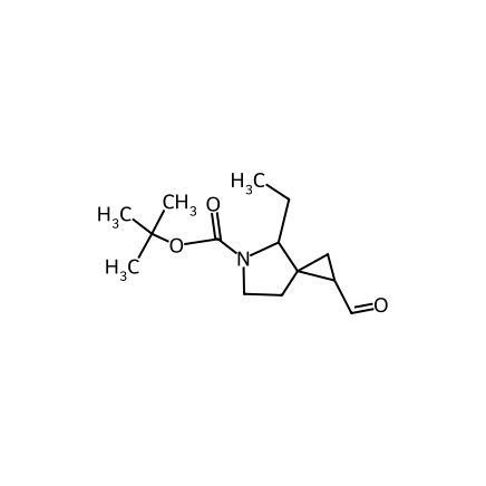 CCC1N(C(=O)OC(C)(C)C)CCC12CC2C=O